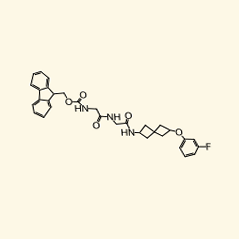 O=C(CNC(=O)OCC1c2ccccc2-c2ccccc21)NCC(=O)NC1CC2(C1)CC(Oc1cccc(F)c1)C2